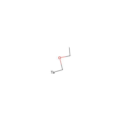 CCO[CH2][Ta]